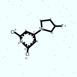 FC1CCN(c2cc(Cl)nc(Cl)c2)C1